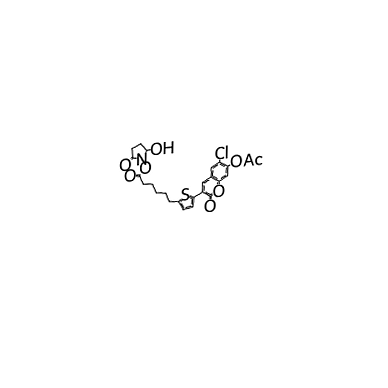 CC(=O)Oc1cc2oc(=O)c(-c3ccc(CCCCCC(=O)ON4C(=O)CCC4O)s3)cc2cc1Cl